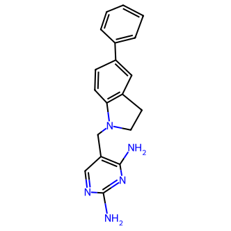 Nc1ncc(CN2CCc3cc(-c4ccccc4)ccc32)c(N)n1